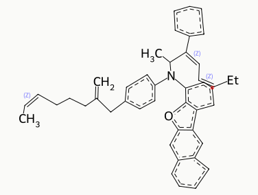 C=C(CCC/C=C\C)Cc1ccc(N(c2cccc3c2oc2cc4ccccc4cc23)C(C)/C(=C\C=C/CC)c2ccccc2)cc1